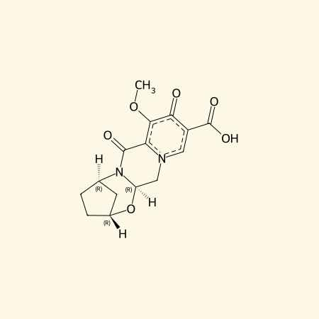 COc1c2n(cc(C(=O)O)c1=O)C[C@H]1O[C@@H]3CC[C@H](C3)N1C2=O